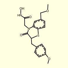 COCc1ccc2c(c1)N(CC(=O)NO)C(=O)C(Cc1ccc(OC)cc1)S2